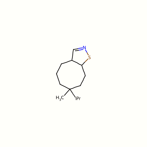 CC(C)C1(C)CCCC2C=NSC2CC1